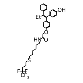 CCC(=C(c1ccc(O)cc1)c1ccc(OCC(=O)NCCCCCCSCCCC(F)(F)C(F)(F)F)cc1)c1ccccc1